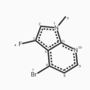 Cn1cc(F)c2c(Br)ccnc21